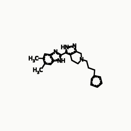 Cc1cc2nc(-c3[nH]nc4c3CCN(CCCc3ccccc3)C4)[nH]c2cc1C